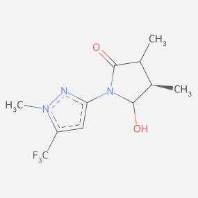 CC1C(=O)N(c2cc(C(F)(F)F)n(C)n2)C(O)[C@@H]1C